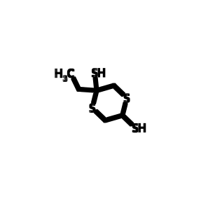 CCC1(S)CSC(S)CS1